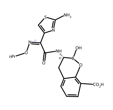 CCCO/N=C(\C(=O)N[C@H]1Cc2cccc(C(=O)O)c2OB1O)c1csc(N)n1